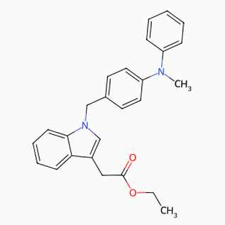 CCOC(=O)Cc1cn(Cc2ccc(N(C)c3ccccc3)cc2)c2ccccc12